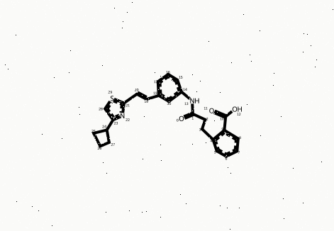 O=C(CCc1ccccc1C(=O)O)Nc1cccc(/C=C/c2nc(C3CCC3)cs2)c1